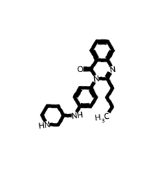 CCCCc1nc2ccccc2c(=O)n1-c1ccc(NC2CCCNC2)cc1